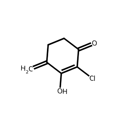 C=C1CCC(=O)C(Cl)=C1O